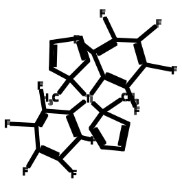 C[C]1([Ti]([c]2c(F)c(F)c(F)c(F)c2F)([c]2c(F)c(F)c(F)c(F)c2F)[C]2(C)C=CC=C2)C=CC=C1